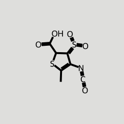 CC1=C(N=C=O)C(=S(=O)=O)C(C(=O)O)S1